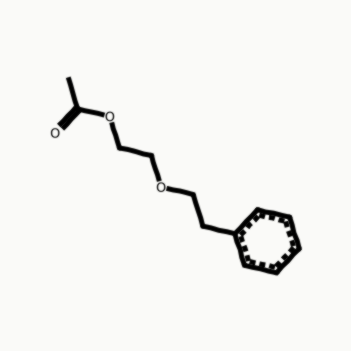 CC(=O)OCCOCCc1ccccc1